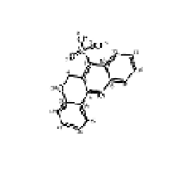 CS(=O)(=O)c1c2c(nc3ccccc13)-c1ccccc1OC2